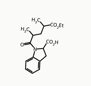 CCOC(=O)C(C)CC(C)C(=O)N1c2ccccc2CC1C(=O)O